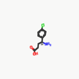 N[C@@H](CCC(=O)O)c1ccc(Cl)cc1